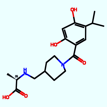 CC(C)c1cc(C(=O)N2CCC(CN[C@@H](C)C(=O)O)CC2)c(O)cc1O